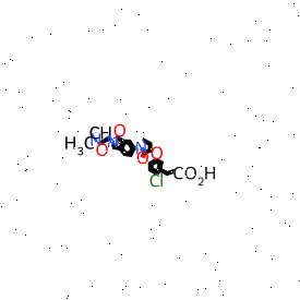 CN(C)C(=O)CN1Cc2ccc(N3CC[C@@H](Oc4ccc(Cl)c(CCC(=O)O)c4)C3=O)cc2C1=O